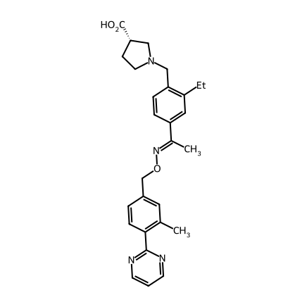 CCc1cc(/C(C)=N/OCc2ccc(-c3ncccn3)c(C)c2)ccc1CN1CC[C@H](C(=O)O)C1